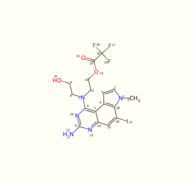 Cn1ccc2c3c(N(CCO)CCOC(=O)C(F)(F)F)nc(N)nc3cc(I)c21